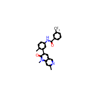 Cc1cc2c(cn1)cc(-c1cc(NC(=O)c3cccc(C(F)(F)F)c3)ccc1C)c(=O)n2C